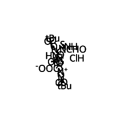 CC(C)(C)OC(=O)CON=C(C(=O)N[C@@H]1C(=O)N2C(C(=O)[O-])=C(C[N+]3(C)CCN(C(=O)OC(C)(C)C)CC3)CS[C@@H]12)c1csc(NC=O)n1.Cl